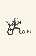 CCOC(=O)Cc1[nH]c(=S)n2c1CCC2.N#C[S-].[K+]